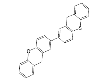 c1ccc2c(c1)Cc1cc(-c3ccc4c(c3)Cc3ccccc3S4)ccc1O2